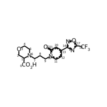 O=C(O)C1COCCN1CCCn1ccc(-c2noc(C(F)(F)F)n2)cc1=O